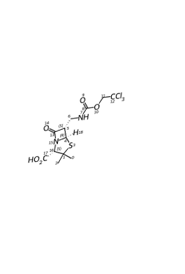 CC1(C)S[C@@H]2[C@@H](CNC(=O)OCC(Cl)(Cl)Cl)C(=O)N2[C@H]1C(=O)O